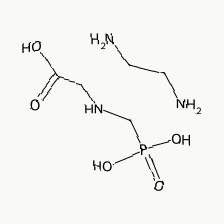 NCCN.O=C(O)CNCP(=O)(O)O